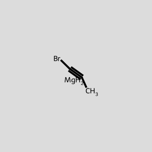 CC#CBr.[MgH2]